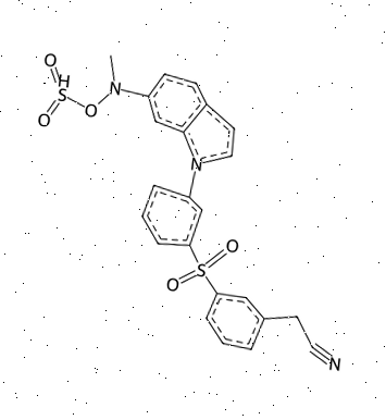 CN(O[SH](=O)=O)c1ccc2ccn(-c3cccc(S(=O)(=O)c4cccc(CC#N)c4)c3)c2c1